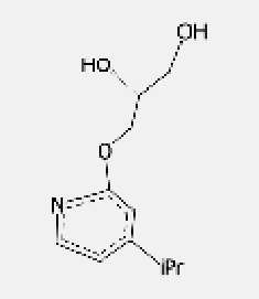 CC(C)c1ccnc(OC[C@H](O)CO)c1